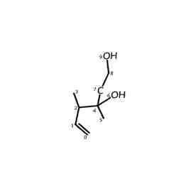 C=CC(C)C(C)(O)CCO